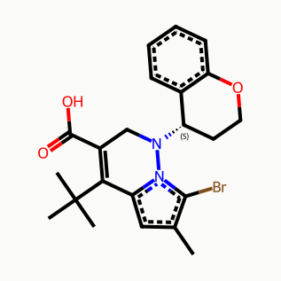 Cc1cc2n(c1Br)N([C@H]1CCOc3ccccc31)CC(C(=O)O)=C2C(C)(C)C